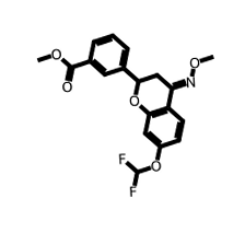 CO/N=C1\CC(c2cccc(C(=O)OC)c2)Oc2cc(OC(F)F)ccc21